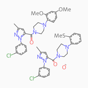 C=O.COc1ccc(N2CCN(C(=O)c3cc(C)nn3-c3cccc(Cl)c3)CC2)c(OC)c1.CSc1ccccc1N1CCN(C(=O)c2cc(C)nn2-c2cccc(Cl)c2)CC1